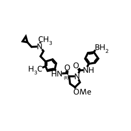 Bc1ccc(NC(=O)N2CC(OC)C[C@@H]2C(=O)Nc2ccc(CCN(C)CC3CC3)c(C)c2)cc1